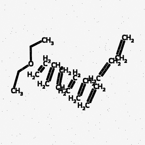 C=C.C=C.C=C.C=C.C=C.C=C.C=C.C=C.CCOCC